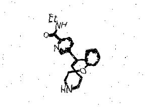 CCNC(=O)c1ccc(C2=CC3(CCNCC3)Oc3ccccc32)cn1